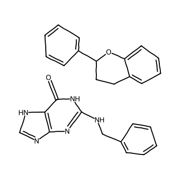 O=c1[nH]c(NCc2ccccc2)nc2nc[nH]c12.c1ccc(C2CCc3ccccc3O2)cc1